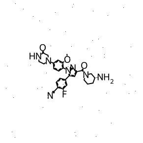 COc1cc(N2CCNC(=O)C2)ccc1-n1nc(C(=O)N2CCC[C@@H](N)C2)cc1-c1ccc(C#N)c(F)c1